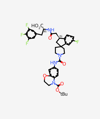 CC(C)(C)OC(=O)N1CCOc2cc(NC(=O)N3CCC4(CC3)C[C@@H](CC(=O)N[C@H](Cc3cc(F)c(F)c(F)c3)C(=O)O)c3ccc(F)cc34)ccc21